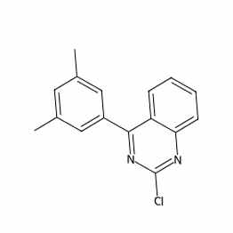 Cc1cc(C)cc(-c2nc(Cl)nc3ccccc23)c1